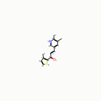 Cc1cc(/C=C/C(=O)c2sccc2C)cnc1C